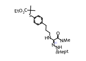 CCCCCCCN/N=C(/NCCCc1ccc(SC(C)(C)C(=O)OCC)cc1)C(=O)NC